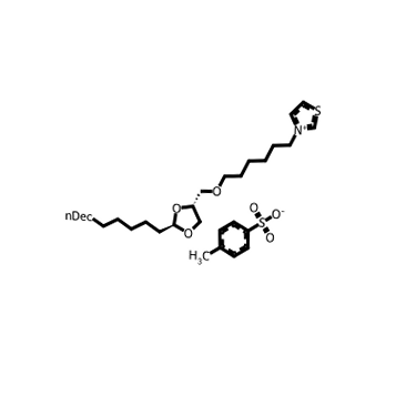 CCCCCCCCCCCCCCC[C@@H]1OC[C@@H](COCCCCCC[n+]2ccsc2)O1.Cc1ccc(S(=O)(=O)[O-])cc1